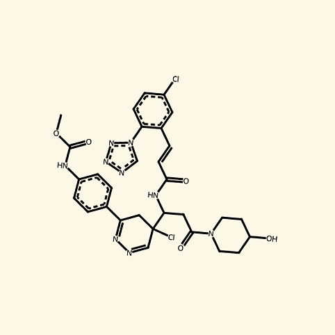 COC(=O)Nc1ccc(C2=NN=CC(Cl)(C(CC(=O)N3CCC(O)CC3)NC(=O)C=Cc3cc(Cl)ccc3-n3cnnn3)C2)cc1